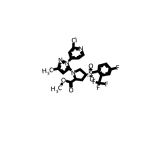 COC(=O)C1C[C@@H](S(=O)(=O)c2ccc(F)cc2C(F)(F)F)CN1c1cc(C)nn1-c1ccnc(Cl)c1